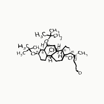 C[C@H](CCC=O)[C@H]1CC[C@H]2[C@@H]3C[C@H](OC(C)(C)C)[C@@H]4C[C@H](OC(C)(C)C)CC[C@]4(C)[C@H]3CC[C@]12C